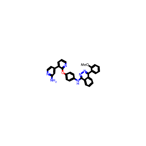 COc1ccccc1-c1nnc(Nc2ccc(Oc3ncccc3-c3ccnc(N)c3)cc2)c2ccccc12